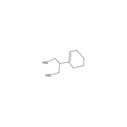 OCC(CO)C1=CCCCC1